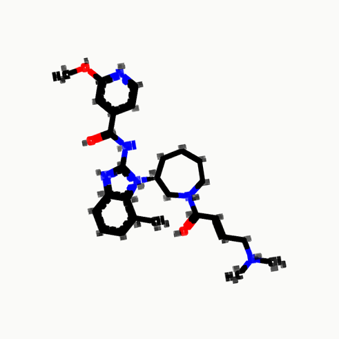 COc1cc(C(=O)Nc2nc3cccc(C)c3n2[C@@H]2CCCCN(C(=O)/C=C/CN(C)C)C2)ccn1